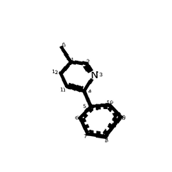 CC1C=NC(c2ccccc2)=CC1